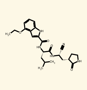 CCOc1cccc2[nH]c(C(=O)N[C@@H](CC(C)C)C(=O)N[C@H](C#N)C[C@@H]3CCNC3=O)cc12